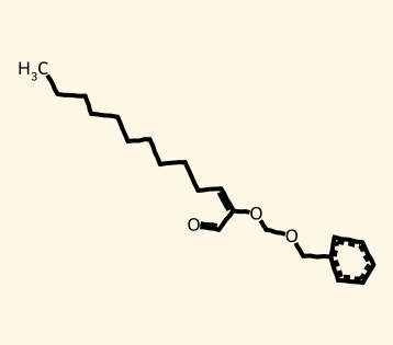 CCCCCCCCCC/C=C(\C=O)OCOCc1ccccc1